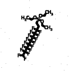 CCO[Si](CCC(F)(F)C(F)(F)C(F)(F)C(F)(F)C(F)(F)C(F)(F)C(F)(F)C(F)F)(OCC)OCC